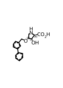 O=C(O)[C@@H]1NC[C@H](OCc2cccc(-c3ccccc3)c2)[C@H]1O